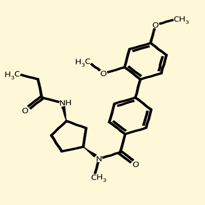 CCC(=O)N[C@@H]1CC[C@H](N(C)C(=O)c2ccc(-c3ccc(OC)cc3OC)cc2)C1